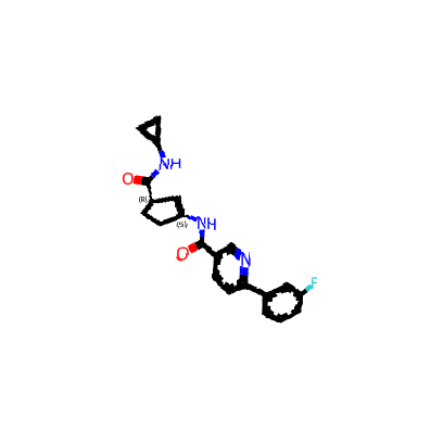 O=C(N[C@H]1CC[C@@H](C(=O)NC2CC2)C1)c1ccc(-c2cccc(F)c2)nc1